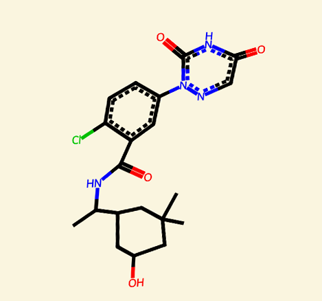 CC(NC(=O)c1cc(-n2ncc(=O)[nH]c2=O)ccc1Cl)C1CC(O)CC(C)(C)C1